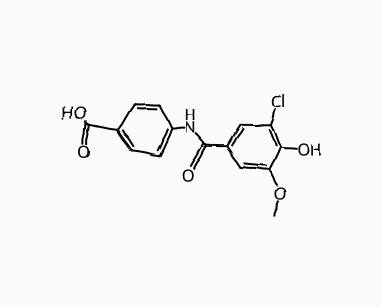 COc1cc(C(=O)Nc2ccc(C(=O)O)cc2)cc(Cl)c1O